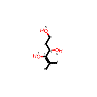 CC(C)=C(O)[C@H](O)CCO